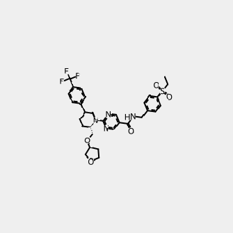 CCS(=O)(=O)c1ccc(CNC(=O)c2cnc(N3CC(c4ccc(C(F)(F)F)cc4)CC[C@H]3COC3CCOC3)nc2)cc1